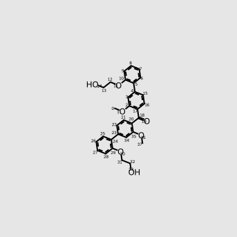 COc1cc(-c2ccccc2OCCO)ccc1C(=O)c1ccc(-c2ccccc2OCCO)cc1OC